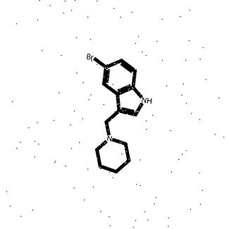 Brc1ccc2[nH]cc(CN3C[CH]CCC3)c2c1